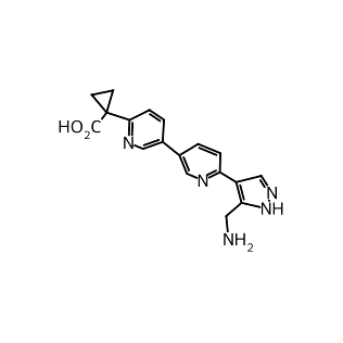 NCc1[nH]ncc1-c1ccc(-c2ccc(C3(C(=O)O)CC3)nc2)cn1